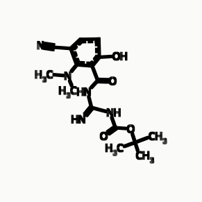 CN(C)c1c(C#N)ccc(O)c1C(=O)NC(=N)NC(=O)OC(C)(C)C